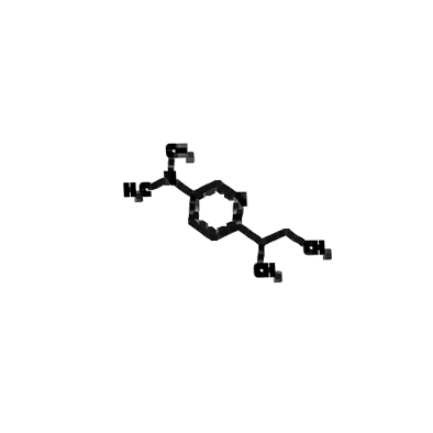 CCC(C)c1ccc(N(C)C)cn1